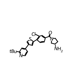 CC(C)(C)c1cc(-c2csc(-c3ccc(C(=O)N4CC[C@@H](N)C4)cc3Cl)c2)ccn1